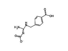 NC(=N[N+](=O)[O-])NCc1ccc(C(=O)O)cc1